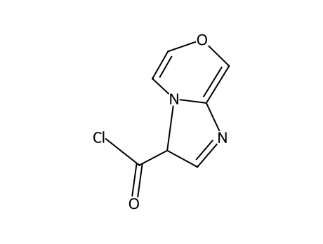 O=C(Cl)C1C=NC2=COC=CN21